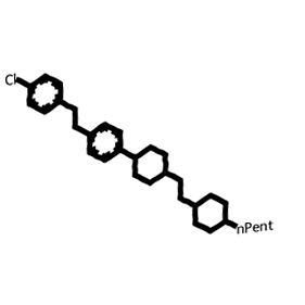 CCCCCC1CCC(CCC2CCC(c3ccc(CCc4ccc(Cl)cc4)cc3)CC2)CC1